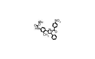 Cc1cc(NC(=O)OC(C)(C)C)ccc1C1=NN(C(=O)c2ccc([N+](=O)[O-])cc2)C(c2ccccc2)C1